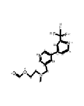 CN(CCOC=O)Cc1cncc(-c2ccnc(C(F)(F)F)c2)c1